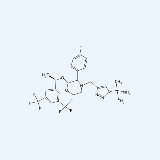 C[C@@H](OC1OCCN(Cc2cn(C(C)(C)N)nn2)C1c1ccc(F)cc1)c1cc(C(F)(F)F)cc(C(F)(F)F)c1